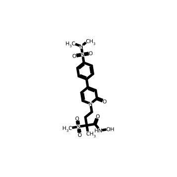 CN(C)S(=O)(=O)c1ccc(-c2ccn(CCC(C)(C(=O)NO)S(C)(=O)=O)c(=O)c2)cc1